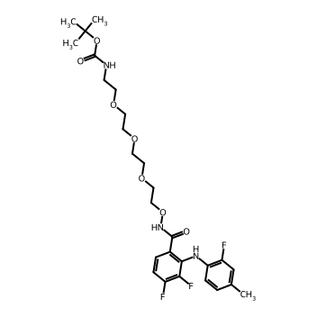 Cc1ccc(Nc2c(C(=O)NOCCOCCOCCOCCNC(=O)OC(C)(C)C)ccc(F)c2F)c(F)c1